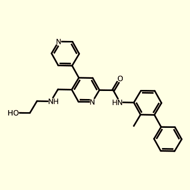 Cc1c(NC(=O)c2cc(-c3ccncc3)c(CNCCO)cn2)cccc1-c1ccccc1